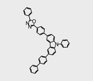 c1ccc(-c2ccc(-c3ccc4c(c3)c3cc(-c5ccc(-c6nnc(-c7ccccc7)o6)cc5)ccc3n4-c3ccccc3)cc2)cc1